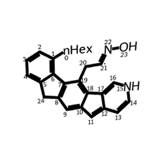 CCCCCCc1cccc2c1-c1c(cc3cc4cc[nH]cc-4c3c1C[C]=NO)C2